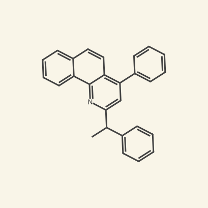 CC(c1ccccc1)c1cc(-c2ccccc2)c2ccc3ccccc3c2n1